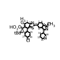 Cc1cc2nc(-c3ccc4c(c3)c(-c3cccnc3)nn4C)sc2c(-c2ccc(Cl)cc2)c1C(OC(C)(C)C)C(=O)O